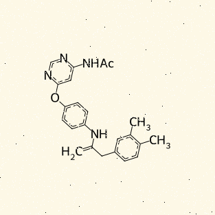 C=C(Cc1ccc(C)c(C)c1)Nc1ccc(Oc2cc(NC(C)=O)ncn2)cc1